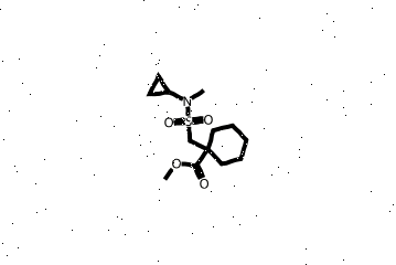 COC(=O)C1(CS(=O)(=O)N(C)C2CC2)CCCCC1